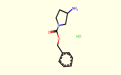 Cl.NC1CCN(C(=O)OCc2ccccc2)C1